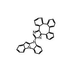 c1ccc2c(c1)-c1ccccc1-c1ncc(-n3c4ccccc4n4c5ccccc5cc34)nc1-c1ccccc1-2